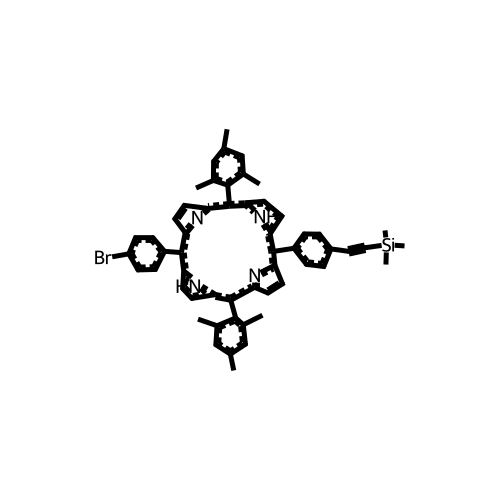 Cc1cc(C)c(-c2c3nc(c(-c4ccc(C#C[Si](C)(C)C)cc4)c4ccc([nH]4)c(-c4c(C)cc(C)cc4C)c4nc(c(-c5ccc(Br)cc5)c5ccc2[nH]5)C=C4)C=C3)c(C)c1